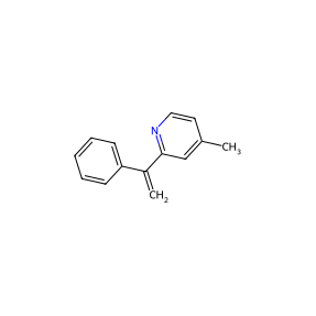 C=C(c1ccccc1)c1cc(C)ccn1